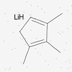 CC1=CCC(C)=C1C.[LiH]